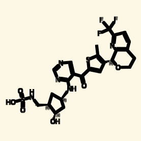 Cc1sc(C(=O)c2cncnc2N[C@H]2C[C@H](O)[C@@H]([CH]NS(=O)(=O)O)C2)cc1[C@H]1OCCc2ccc(C(F)(F)F)nc21